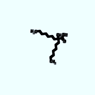 CCCCCCCC(C)(CCCCCCC)C(=O)O